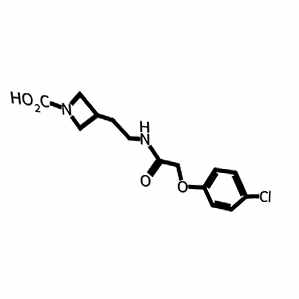 O=C(COc1ccc(Cl)cc1)NCCC1CN(C(=O)O)C1